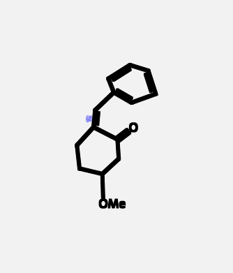 COC1CC/C(=C/c2ccccc2)C(=O)C1